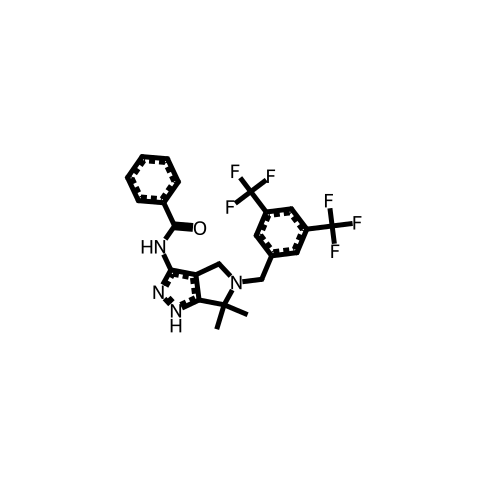 CC1(C)c2[nH]nc(NC(=O)c3ccccc3)c2CN1Cc1cc(C(F)(F)F)cc(C(F)(F)F)c1